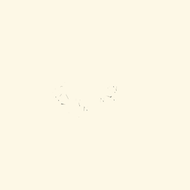 CC(C)c1nsc(N2CCC(N3CCC(Oc4ccc(S(C)(=O)=O)nc4)C3=O)CC2)n1